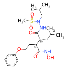 CC(C)C[C@@H](C(=O)NN(CC(C)C)S(C)(=O)=O)[C@H](CCOc1ccccc1)C(=O)NO